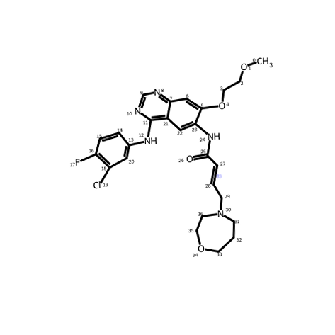 COCCOc1cc2ncnc(Nc3ccc(F)c(Cl)c3)c2cc1NC(=O)/C=C/CN1CCCOCC1